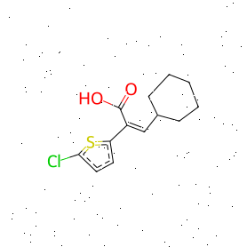 O=C(O)/C(=C\C1CCCCC1)c1ccc(Cl)s1